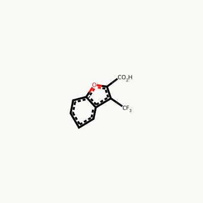 O=C(O)c1oc2ccccc2c1C(F)(F)F